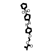 C=C(C)C(=O)OCCOc1ccc(N=Nc2ccc(S(=O)(=O)c3ccccc3)cc2)cc1